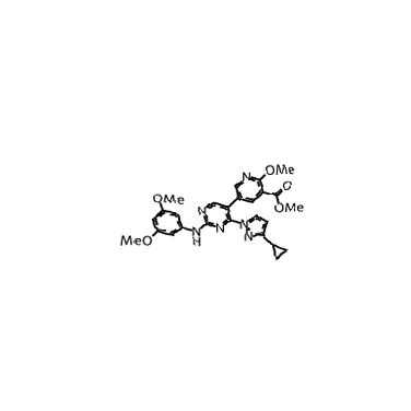 COC(=O)c1cc(-c2cnc(Nc3cc(OC)cc(OC)c3)nc2-n2ccc(C3CC3)n2)cnc1OC